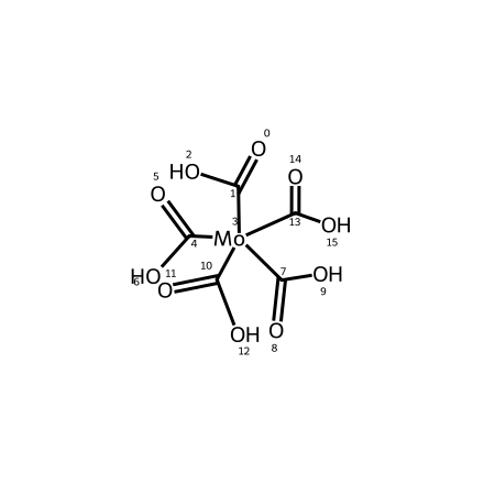 O=[C](O)[Mo]([C](=O)O)([C](=O)O)([C](=O)O)[C](=O)O